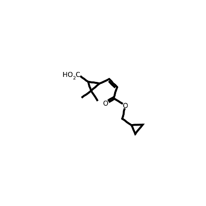 CC1(C)C(/C=C\C(=O)OCC2CC2)C1C(=O)O